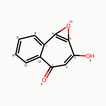 O=c1cc(O)c2c(c3ccccc13)O2